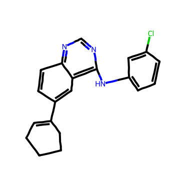 Clc1cccc(Nc2ncnc3ccc(C4=CCCCC4)cc23)c1